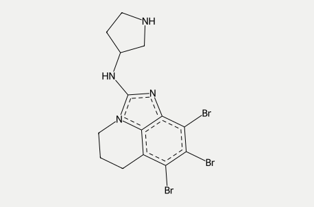 Brc1c(Br)c2c3c(nc(NC4CCNC4)n3CCC2)c1Br